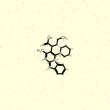 CCCC(C(=O)O)c1c(C)nc2nc3ccccc3n2c1N1CCCCC1